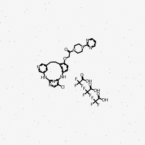 O=C(COc1ccc2cc1CCc1cncc(c1)Nc1ncc(Cl)c(n1)N2)N1CCN(c2ncccn2)CC1.O=C(O)C(F)(F)F.O=C(O)C(F)(F)F.O=C(O)C(F)(F)F